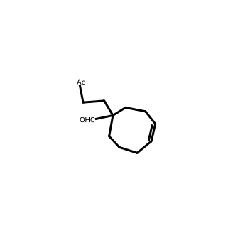 CC(=O)CCC1(C=O)CC/C=C\CCC1